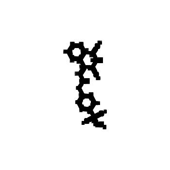 NS(=O)(=O)c1ccc(CNC=C2C(=O)NC(=O)c3ccccc32)cc1